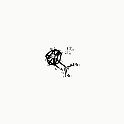 CC(C)(C)P(C(C)(C)C)[C]12[CH]3[CH]4[CH]5[CH]1[Fe]45321678[CH]2[CH]1[CH]6[C]7([Pd+2])[CH]28.[Cl-].[Cl-]